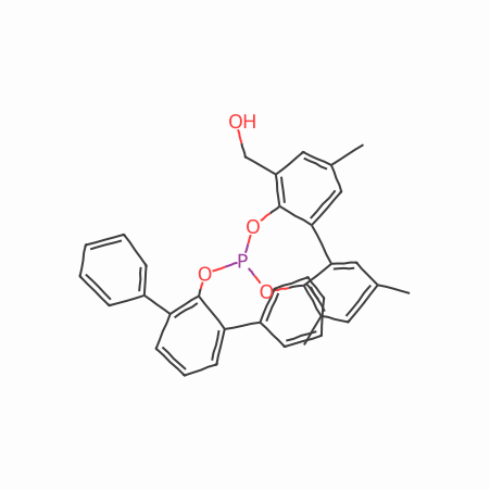 Cc1cc(C)c2op(Oc3c(-c4ccccc4)cccc3-c3ccccc3)oc3c(CO)cc(C)cc3c2c1